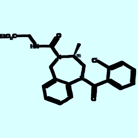 CCOC(=O)CNC(=O)N1Cc2ccccc2N(C(=O)c2ccccc2Cl)C[C@H]1C